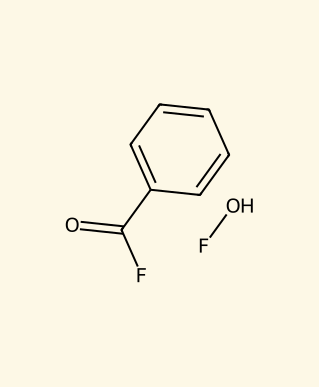 O=C(F)c1ccccc1.OF